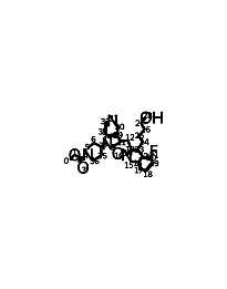 COC(=O)N1CCC(N2C(=O)C(Cc3ncc4cccc(F)c4c3CCCCO)c3cnccc32)CC1